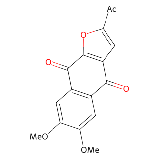 COc1cc2c(cc1OC)C(=O)c1oc(C(C)=O)cc1C2=O